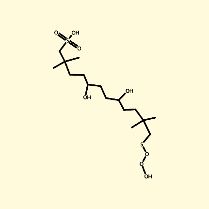 CC(C)(CCC(O)CCC(O)CCC(C)(C)CS(=O)(=O)O)CSOOO